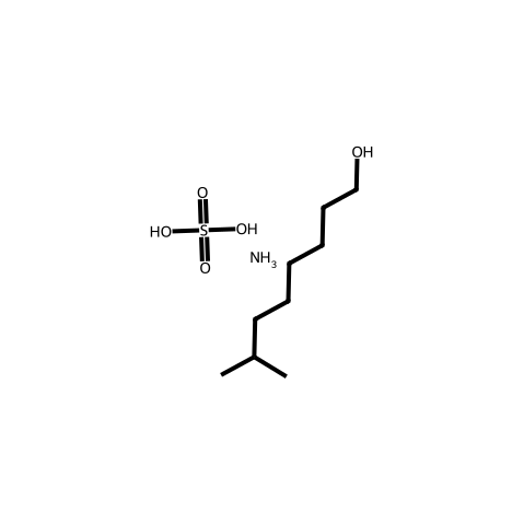 CC(C)CCCCCCO.N.O=S(=O)(O)O